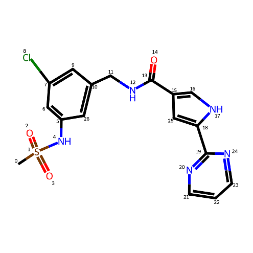 CS(=O)(=O)Nc1cc(Cl)cc(CNC(=O)c2c[nH]c(-c3ncccn3)c2)c1